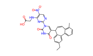 CCc1ccc2c(c1)-c1cccc(C)c1C=CC2c1cn(-c2ncc([N+](=O)[O-])c(NCC(=O)O)n2)c(=O)[nH]c1=O